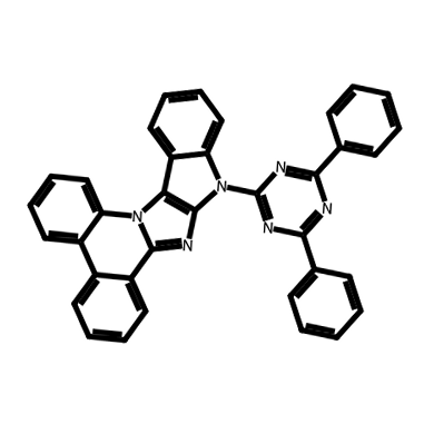 c1ccc(-c2nc(-c3ccccc3)nc(-n3c4ccccc4c4c3nc3c5ccccc5c5ccccc5n34)n2)cc1